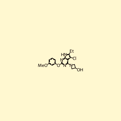 CCc1[nH]c2nc(Oc3cccc(OC)c3)nc(N3CC(O)C3)c2c1Cl